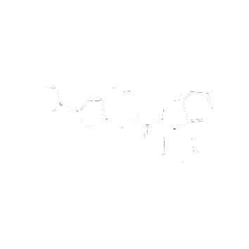 O=C(NO)c1ccc2c(c1)OCCN(C(=O)C1Oc3ccccc3C13CCNCC3)C2